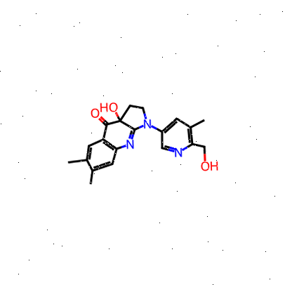 Cc1cc2c(cc1C)C(=O)C1(O)CCN(c3cnc(CO)c(C)c3)C1=N2